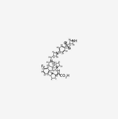 O=C(O)N[C@H]1CCC[C@@H]1C(CN1CCC1)(c1cccc(F)c1)C1CCN(CC2CN(c3ccc(S(=O)(=O)C4CNC4)cc3)C2)CC1